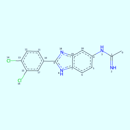 CC(=N)Nc1ccc2[nH]c(-c3ccc(Cl)c(Cl)c3)nc2c1